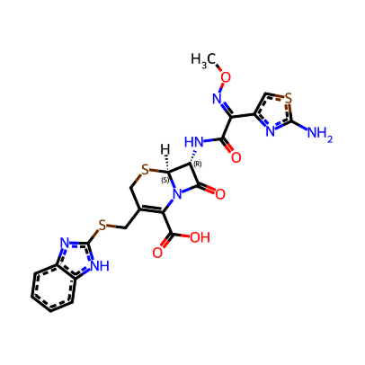 CON=C(C(=O)N[C@@H]1C(=O)N2C(C(=O)O)=C(CSc3nc4ccccc4[nH]3)CS[C@@H]12)c1csc(N)n1